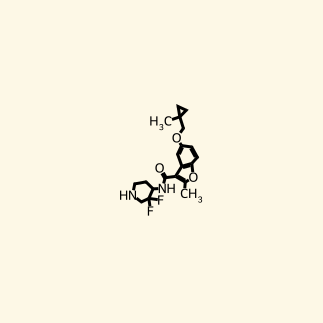 Cc1oc2ccc(OCC3(C)CC3)cc2c1C(=O)NC1CCNCC1(F)F